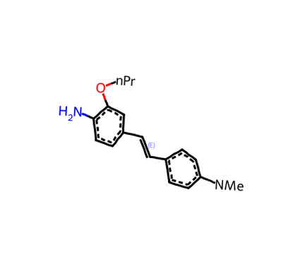 CCCOc1cc(/C=C/c2ccc(NC)cc2)ccc1N